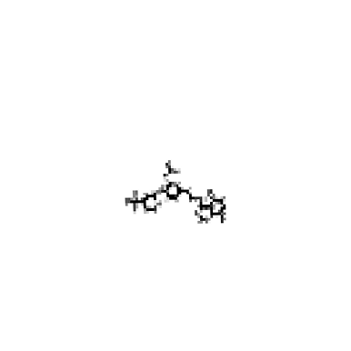 CC(C)Oc1cc(CCNc2ncnc3c(F)ccc(F)c23)ccc1Oc1cc(C(F)(F)F)ccn1